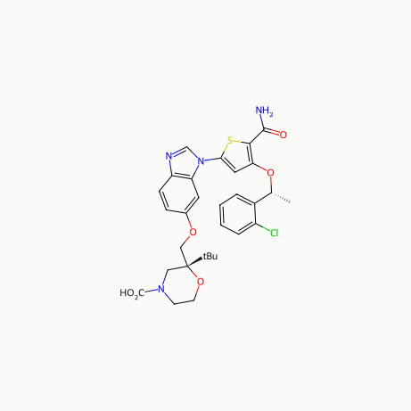 C[C@@H](Oc1cc(-n2cnc3ccc(OC[C@@]4(C(C)(C)C)CN(C(=O)O)CCO4)cc32)sc1C(N)=O)c1ccccc1Cl